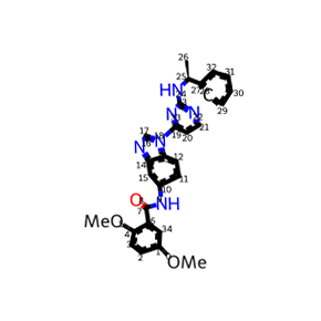 COc1ccc(OC)c(C(=O)Nc2ccc3c(c2)ncn3-c2ccnc(N[C@@H](C)c3ccccc3)n2)c1